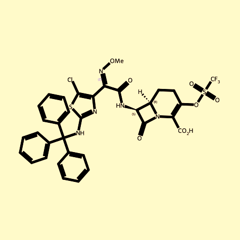 CO/N=C(\C(=O)N[C@@H]1C(=O)N2C(C(=O)O)=C(OS(=O)(=O)C(F)(F)F)CC[C@H]12)c1nc(NC(c2ccccc2)(c2ccccc2)c2ccccc2)sc1Cl